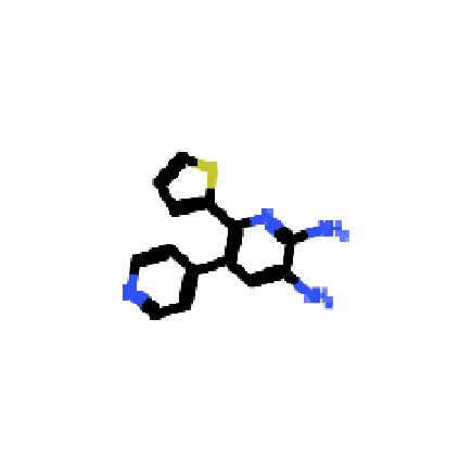 Nc1cc(-c2ccncc2)c(-c2cccs2)nc1N